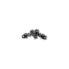 c1ccc2oc(-c3ccc(-c4cc5c6ccccc6c6c(c7ccccc7n6-c6ccc(-c7nc8ccccc8o7)cc6)c5c5ccccc45)cc3)nc2c1